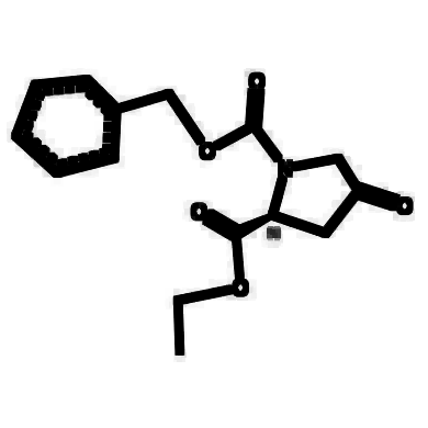 CCOC(=O)[C@@H]1CC(=O)CN1C(=O)OCc1ccccc1